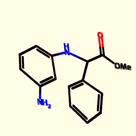 COC(=O)C(Nc1cccc(N)c1)c1ccccc1